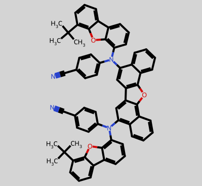 CC(C)(C)c1cccc2c1oc1c(N(c3ccc(C#N)cc3)c3cc4c5cc(N(c6ccc(C#N)cc6)c6cccc7c6oc6c(C(C)(C)C)cccc67)c6ccccc6c5oc4c4ccccc34)cccc12